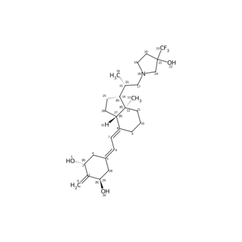 C=C1[C@H](O)CC(=CC=C2CCC[C@]3(C)[C@@H]([C@H](C)CN4CCC(O)(C(F)(F)F)C4)CC[C@@H]23)C[C@H]1O